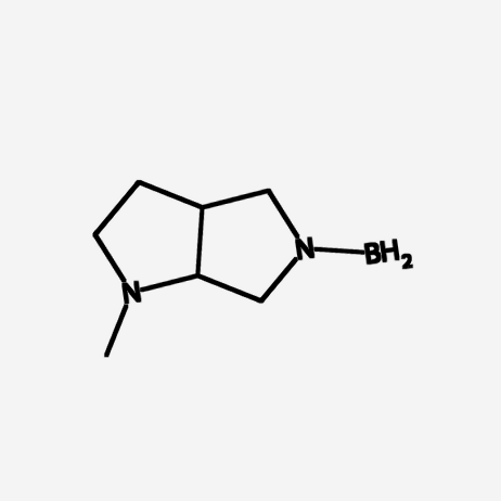 BN1CC2CCN(C)C2C1